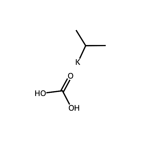 C[CH](C)[K].O=C(O)O